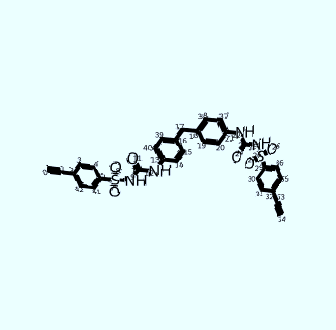 C#Cc1ccc(S(=O)(=O)NC(=O)Nc2ccc(Cc3ccc(NC(=O)NS(=O)(=O)c4ccc(C#C)cc4)cc3)cc2)cc1